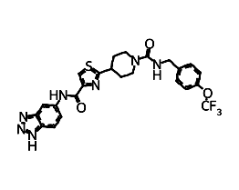 O=C(Nc1ccc2[nH]nnc2c1)c1csc(C2CCN(C(=O)NCc3ccc(OC(F)(F)F)cc3)CC2)n1